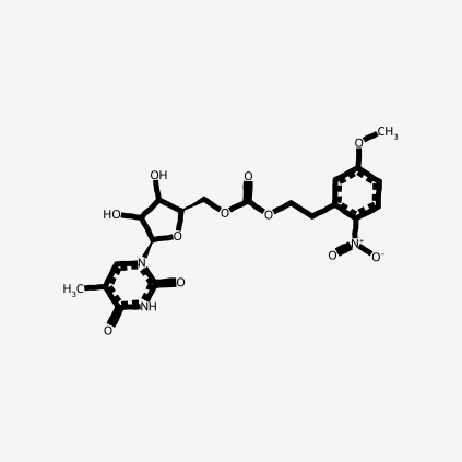 COc1ccc([N+](=O)[O-])c(CCOC(=O)OC[C@H]2O[C@@H](n3cc(C)c(=O)[nH]c3=O)C(O)C2O)c1